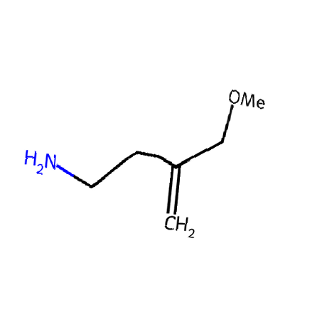 C=C(CCN)COC